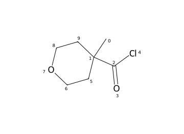 CC1(C(=O)Cl)CCOCC1